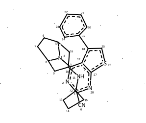 N#Cc1nc(N2C3CCC2CC(NC2CCC2)C3)c2c(-c3ccccc3)csc2n1